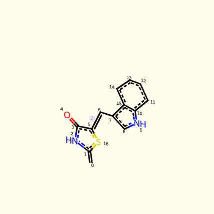 C=c1[nH]c(=O)/c(=C/c2c[nH]c3ccccc23)s1